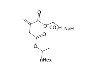 C=C(CC(=O)OC(C)CCCCCC)C(=O)OCC(=O)O.[NaH]